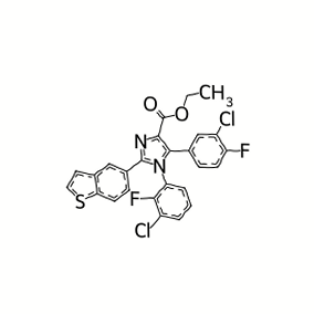 CCOC(=O)c1nc(-c2ccc3sccc3c2)n(-c2cccc(Cl)c2F)c1-c1ccc(F)c(Cl)c1